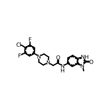 Cn1c(=O)[nH]c2ccc(NC(=O)CN3CCN(c4cc(F)c(Cl)c(F)c4)CC3)cc21